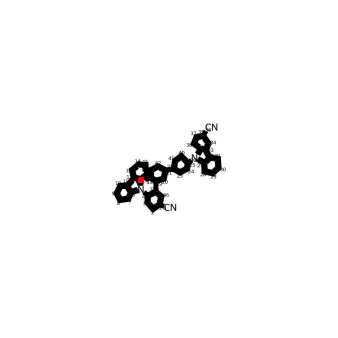 N#Cc1ccc(-n2c3ccccc3c3ccccc32)c(-c2cc(-c3ccc(-n4c5ccccc5c5cc(C#N)ccc54)cc3)ccc2C#N)c1